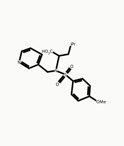 COc1ccc(S(=O)(=O)N(Cc2cccnc2)C(CC(C)C)C(=O)O)cc1